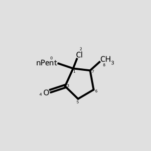 CCCCCC1(Cl)C(=O)CCC1C